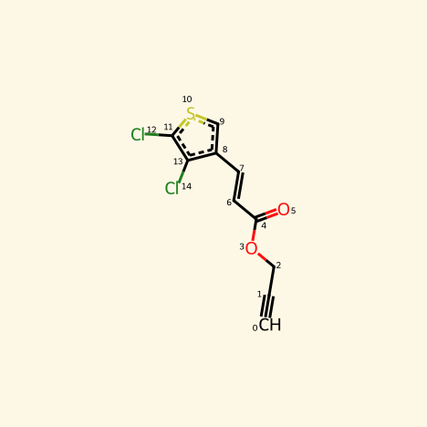 C#CCOC(=O)/C=C/c1csc(Cl)c1Cl